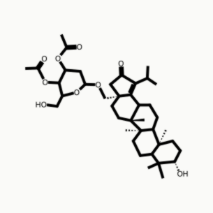 CC(=O)OC1CC(OC[C@@]23CC[C@]4(C)C(CCC5[C@@]6(C)CC[C@H](O)C(C)(C)C6CC[C@]54C)C2=C(C(C)C)C(=O)C3)OC(CO)C1OC(C)=O